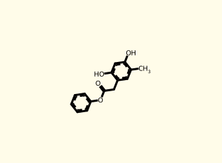 Cc1cc(CC(=O)Oc2ccccc2)c(O)cc1O